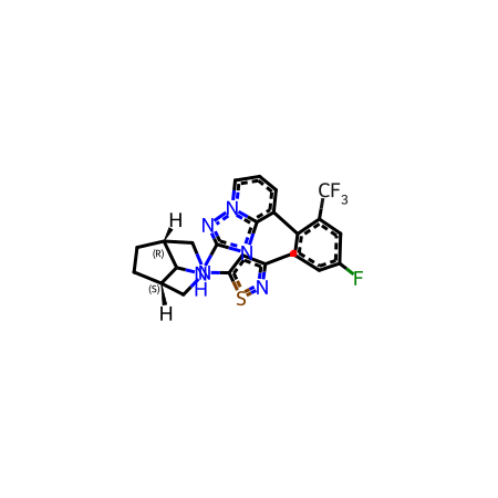 Cc1cc(N2C[C@H]3CC[C@@H](C2)C3Nc2nc3c(-c4ccc(F)cc4C(F)(F)F)cccn3n2)sn1